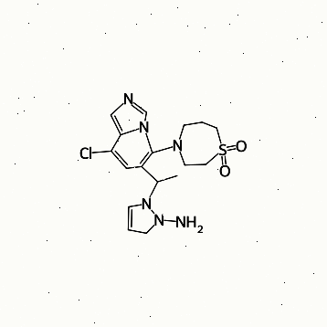 CC(c1cc(Cl)c2cncn2c1N1CCCS(=O)(=O)CC1)N1C=CCN1N